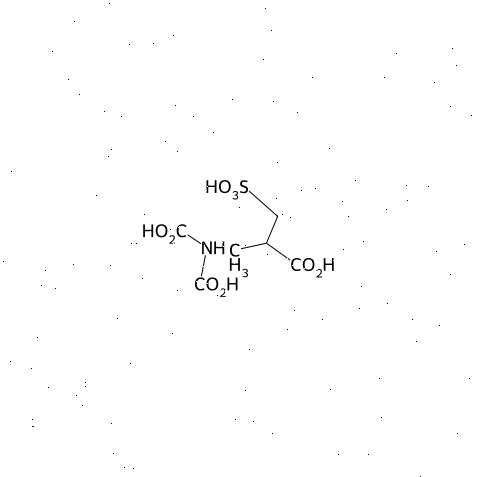 CC(CS(=O)(=O)O)C(=O)O.O=C(O)NC(=O)O